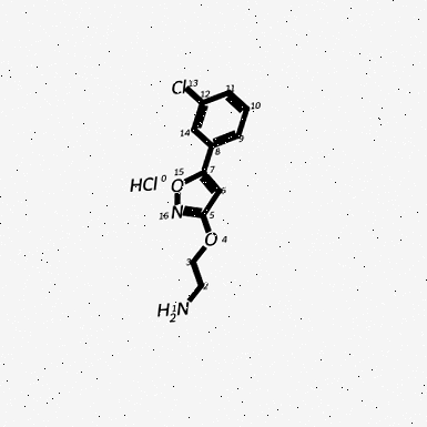 Cl.NCCOc1cc(-c2cccc(Cl)c2)on1